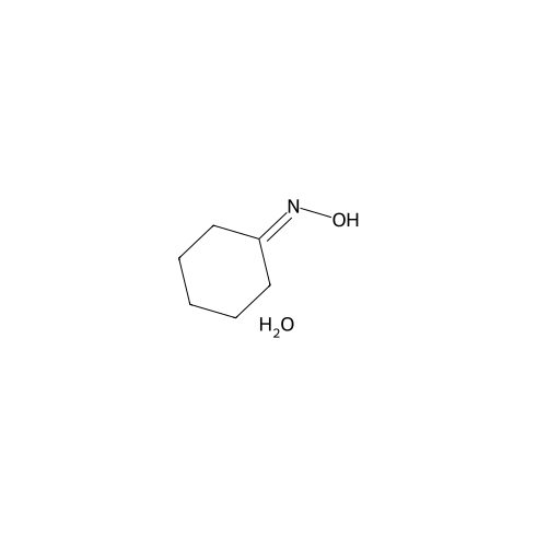 O.ON=C1CCCCC1